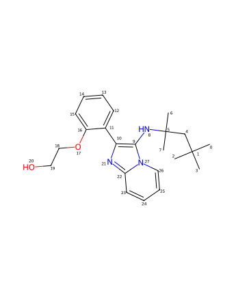 CC(C)(C)CC(C)(C)Nc1c(-c2ccccc2OCCO)nc2ccccn12